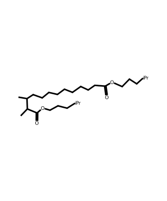 CC(C)CCCOC(=O)CCCCCCCCCC(C)C(C)C(=O)OCCCC(C)C